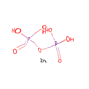 O=P(O)(O)OP(=O)(O)O.[Zn]